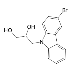 OCC(O)Cn1c2ccccc2c2cc(Br)ccc21